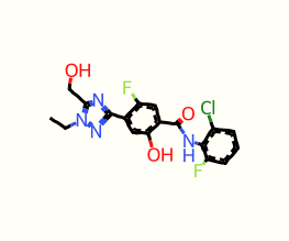 CCn1nc(-c2cc(O)c(C(=O)Nc3c(F)cccc3Cl)cc2F)nc1CO